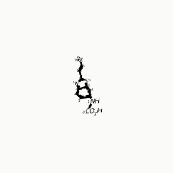 O=C(O)Nc1ccc2nc(C=CBr)sc2c1